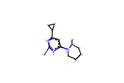 Cc1nc(C2CC2)cc(N2CCCCC2C)n1